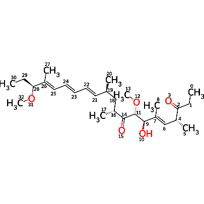 CCC(=O)[C@H](C)/C=C(\C)[C@@H](O)[C@@H](OC)C(=O)[C@H](C)C[C@H](C)/C=C/C=C/C=C(\C)[C@H](CC)OC